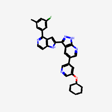 Cc1cc(F)cc(-c2nccc3[nH]c(-c4n[nH]c5ncc(-c6cncc(OC7CCCCC7)c6)cc45)cc23)c1